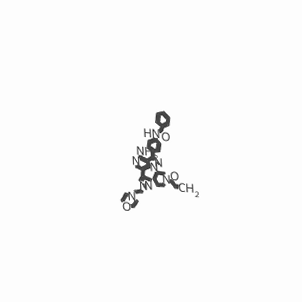 C=CC(=O)N1CCCC(n2nc(-c3ccc(NC(=O)c4ccccc4)cc3)c3c(N)ncc(-c4cnn(CCN5CCOCC5)c4)c32)C1